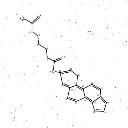 CC(=O)OCCCCC(=O)OC1=CCc2c(ccc3c4c(ccc23)=CC=C4)=C1